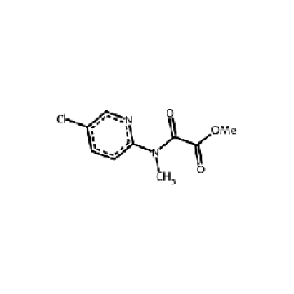 COC(=O)C(=O)N(C)c1ccc(Cl)cn1